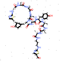 C[C@@H]1NC(=O)CNc2ncc(s2)Cc2cc(ccc2O)C[C@@H](C(=O)NCC(=O)N[C@@H](Cc2ccc(O)cc2)C(=O)N[C@@H](C)C(=O)N[C@@H](C)C(=O)N[C@@H](C)C(=O)NCCCNc2ncc(C=O)s2)NC(=O)[C@H](C)NC(=O)[C@H](C)NC1=O